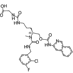 CN(C(=O)NCc1cccc(F)c1Cl)[C@@H](CCCNC(=O)NCC(=O)O)COC(=O)Nc1cc2ccccc2cn1